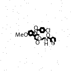 COc1ccc2c(c1)c(CC(=O)OCCNC(=O)C1=CN(C)C=CC1)c(C)n2C(=O)c1ccc(Cl)cc1